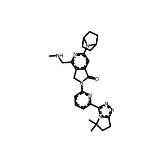 CNCc1nc(N2C3CCC2CC3)cc2c1CN(c1cccc(-c3nnc4n3C(C)(C)CC4)n1)C2=O